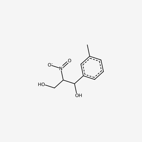 Cc1cccc(C(O)C(CO)[N+](=O)[O-])c1